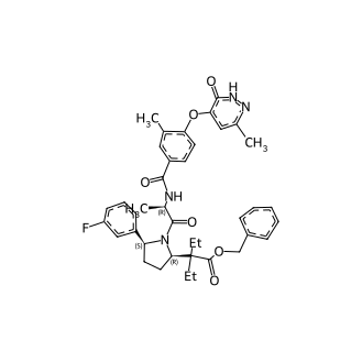 CCC(CC)(C(=O)OCc1ccccc1)[C@H]1CC[C@@H](c2cccc(F)c2)N1C(=O)[C@@H](C)NC(=O)c1ccc(Oc2cc(C)n[nH]c2=O)c(C)c1